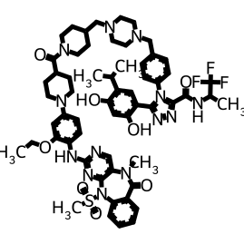 CCOc1cc(N2CCC(C(=O)N3CCC(CN4CCN(Cc5ccc(-n6c(C(=O)NC(C)C(F)(F)F)nnc6-c6cc(C(C)C)c(O)cc6O)cc5)CC4)CC3)CC2)ccc1Nc1ncc2c(n1)N(S(C)(=O)=O)c1ccccc1C(=O)N2C